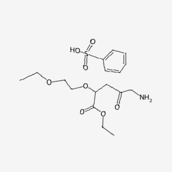 CCOCCOC(CC(=O)CN)C(=O)OCC.O=S(=O)(O)c1ccccc1